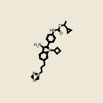 CC(OC(=O)Nc1ccc(-c2c(N)c3ccc(CCCn4cncn4)cc3n2C2CCC2)cc1)C1CC1